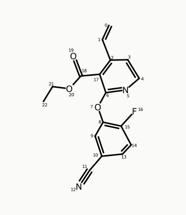 C=Cc1ccnc(Oc2cc(C#N)ccc2F)c1C(=O)OCC